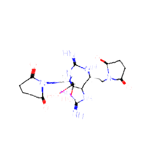 N=C1NC2[C@H](CN3C(=O)CCC3=O)NC(=N)N3C[C@H](N4C(=O)CCC4=O)C(O)(O)[C@@]23N1